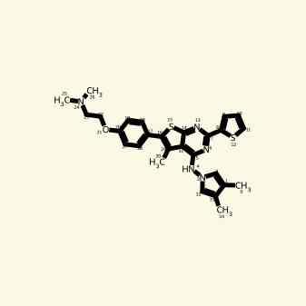 Cc1cn(Nc2nc(-c3cccs3)nc3sc(-c4ccc(OCCN(C)C)cc4)c(C)c23)cc1C